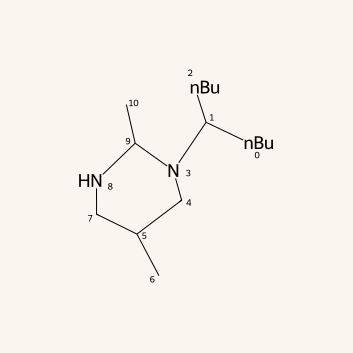 CCCCC(CCCC)N1CC(C)CNC1C